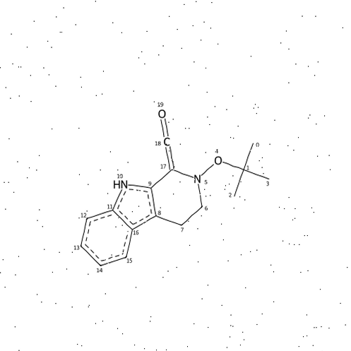 CC(C)(C)ON1CCc2c([nH]c3ccccc23)C1=C=O